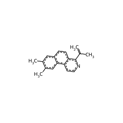 C=C(C)c1nccc2c1ccc1cc(C)c(C)cc12